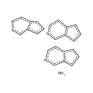 N.c1cc2ccncn2c1.c1cc2ccncn2c1.c1cc2ccncn2c1